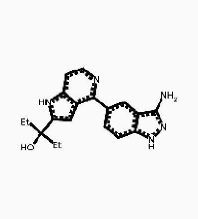 CCC(O)(CC)c1cc2c(-c3ccc4[nH]nc(N)c4c3)nccc2[nH]1